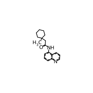 CC1(CC(=O)Nc2cccc3ncccc23)CCCCC1